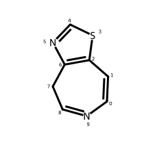 C1=Cc2scnc2CC=N1